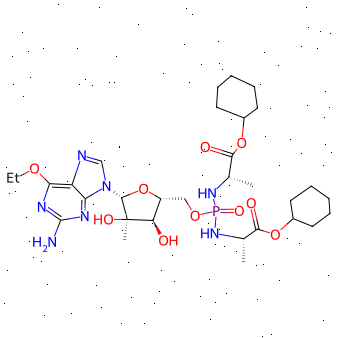 CCOc1nc(N)nc2c1ncn2[C@@H]1O[C@H](COP(=O)(N[C@@H](C)C(=O)OC2CCCCC2)N[C@@H](C)C(=O)OC2CCCCC2)[C@@H](O)[C@@]1(C)O